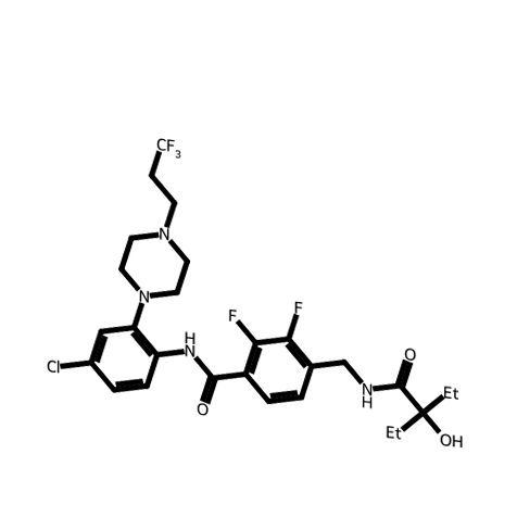 CCC(O)(CC)C(=O)NCc1ccc(C(=O)Nc2ccc(Cl)cc2N2CCN(CCC(F)(F)F)CC2)c(F)c1F